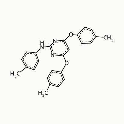 Cc1ccc(Nc2nc(Oc3ccc(C)cc3)cc(Oc3ccc(C)cc3)n2)cc1